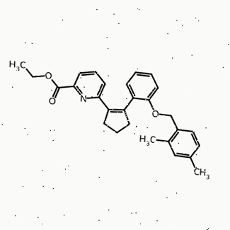 CCOC(=O)c1cccc(C2=C(c3ccccc3OCc3ccc(C)cc3C)CCC2)n1